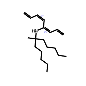 C=C/C=C\C(=C/C=C)NC(C)(CCCCC)CCCCC